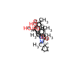 CN[C@@H](CC1CCCCC1)C(=O)O[C@]1(C)C[C@@H](C)[C@@]2(O)[C@@H](C=C(CO)C[C@]3(O)C(=O)C(C)=C[C@@H]23)C1(C)C